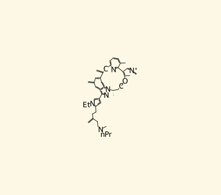 C=[N+]=C/C1=C(\C)OCC[C@H](C)n2nc(-c3cc(CCC(=C)CCN(C)CCC)n(CC)c3)c3c2=CC(=CC(=C)C=3)C(=C)CC2=CC=C=C(C)C1=N2